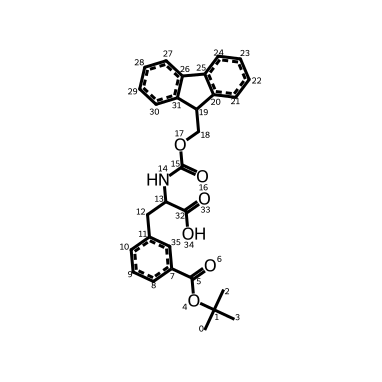 CC(C)(C)OC(=O)c1cccc(CC(NC(=O)OCC2c3ccccc3-c3ccccc32)C(=O)O)c1